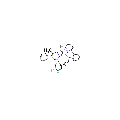 C=C1C2C(CCc3cc(F)c(F)cc3-c3cc(-c4ccccc4)c(C)c[n+]31)c1ccccc1-c1cccc[n+]12